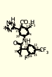 O=C(O)c1c(F)cc(NC(=O)C2(c3ccc(C(F)(F)F)cc3F)CC2)cc1-c1nnn[nH]1